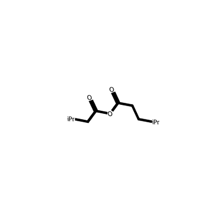 CC(C)CCC(=O)OC(=O)CC(C)C